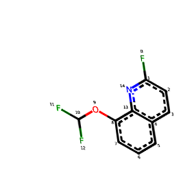 Fc1ccc2cccc(OC(F)F)c2n1